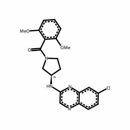 COc1cccc(OC)c1C(=O)N1CC[C@@H](Nc2cnc3ccc(Cl)cc3n2)C1